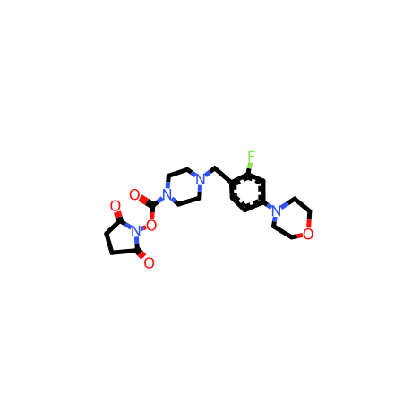 O=C(ON1C(=O)CCC1=O)N1CCN(Cc2ccc(N3CCOCC3)cc2F)CC1